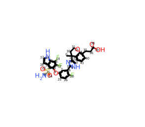 CC1(c2c[nH]c(-c3cc(Oc4c(F)c(F)c5[nH]ccc5c4S(N)(=O)=O)ccc3F)n2)CCOc2c(CCC(=O)O)cccc21